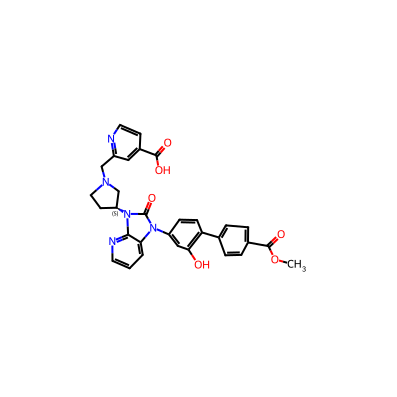 COC(=O)c1ccc(-c2ccc(-n3c(=O)n([C@H]4CCN(Cc5cc(C(=O)O)ccn5)C4)c4ncccc43)cc2O)cc1